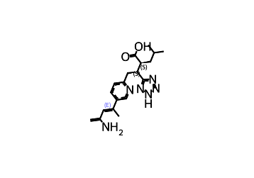 C=C(N)/C=C(\C)c1ccc(C[C@H](c2nn[nH]n2)[C@H](CC(C)C)C(=O)O)nc1